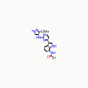 CCC(=O)Nc1cccc2c(-c3ccnc(Nc4cn(C)nc4OC)n3)c[nH]c12